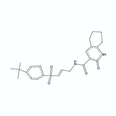 CC(C)(C)c1ccc(S(=O)(=O)/C=C/CNC(=O)c2cc3c([nH]c2=O)CCCC3)cc1